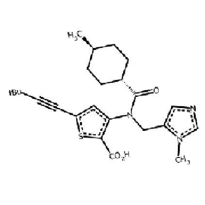 Cn1cncc1CN(c1cc(C#CC(C)(C)C)sc1C(=O)O)C(=O)[C@H]1CC[C@H](C)CC1